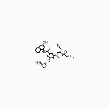 C=CC(=O)N1CCN(c2cc(C(=O)Nc3cc(O)cc4ccccc34)nc(OC[C@@H]3CCCN3C)n2)C[C@@H]1CC#N